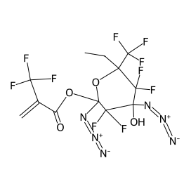 C=C(C(=O)OC1(N=[N+]=[N-])OC(CC)(C(F)(F)F)C(F)(F)C(O)(N=[N+]=[N-])C1(F)F)C(F)(F)F